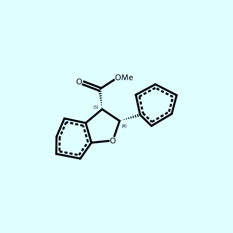 COC(=O)[C@H]1c2ccccc2O[C@H]1c1ccccc1